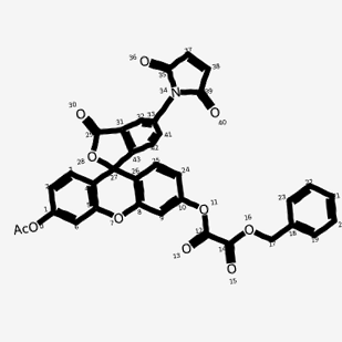 CC(=O)Oc1ccc2c(c1)Oc1cc(OC(=O)C(=O)OCc3ccccc3)ccc1C21OC(=O)c2cc(N3C(=O)C=CC3=O)ccc21